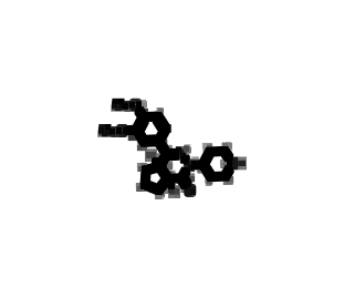 COc1ccc(C2=NN(C3CCNCC3)C(=O)[C@@H]3CCC[C@H]23)cc1OC